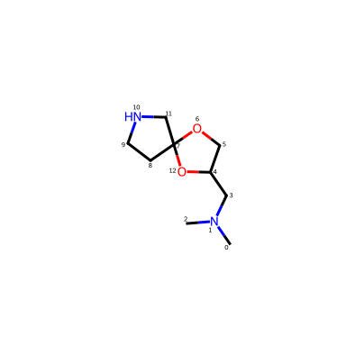 CN(C)CC1COC2(CCNC2)O1